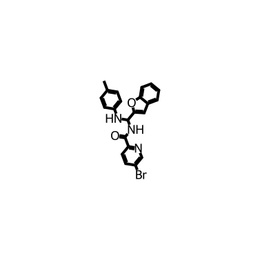 Cc1ccc(NC(NC(=O)c2ccc(Br)cn2)c2cc3ccccc3o2)cc1